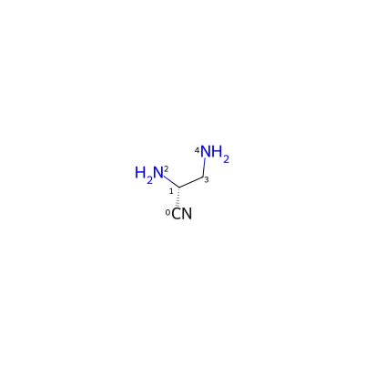 N#C[C@H](N)CN